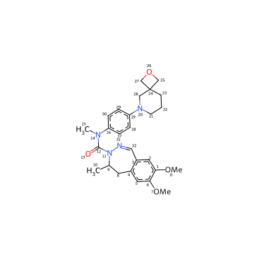 COc1cc2c(cc1OC)CC(C)N(C(=O)N(C)c1ccc(N3CCCC4(COC4)C3)cc1)N=C2